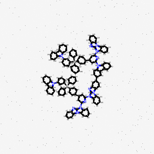 c1ccc([Si](c2ccccc2)(c2ccc(-c3cc(-n4c5ccccc5c5cc(-c6ccc7c(c6)nc6n(-c8cc(-c9ccc([Si](c%10ccccc%10)(c%10ccccc%10)c%10cccc(-n%11c%12ccccc%12c%12ccccc%12%11)c%10)cc9)cc(-n9c%10ccccc%10n%10c%11ccccc%11nc9%10)n8)c8ccccc8n76)ccc54)nc(-n4c5ccccc5n5c6ccccc6nc45)c3)cc2)c2cccc(-n3c4ccccc4c4ccccc43)c2)cc1